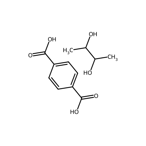 CC(O)C(C)O.O=C(O)c1ccc(C(=O)O)cc1